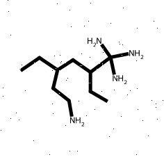 CCC(CCN)CC(CC)C(N)(N)N